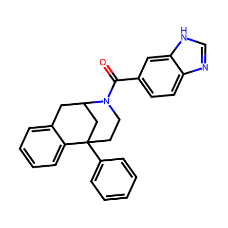 O=C(c1ccc2nc[nH]c2c1)N1CCC2(c3ccccc3)CC1Cc1ccccc12